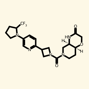 O=C1CO[C@H]2CCN(C(=O)N3CC(c4ccc(N5CCCC5C(F)(F)F)cn4)C3)C[C@H]2N1